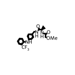 COCC(=O)NC1(C(=O)NCc2ccc(Nc3ccccc3C(F)(F)F)cc2)CC1